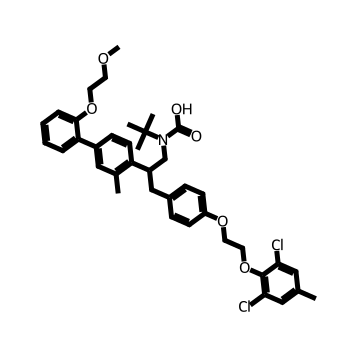 COCCOc1ccccc1-c1ccc(C(Cc2ccc(OCCOc3c(Cl)cc(C)cc3Cl)cc2)CN(C(=O)O)C(C)(C)C)c(C)c1